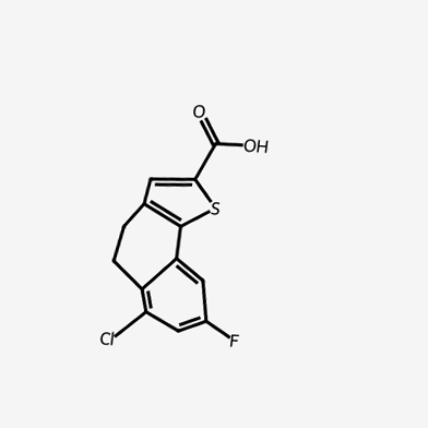 O=C(O)c1cc2c(s1)-c1cc(F)cc(Cl)c1CC2